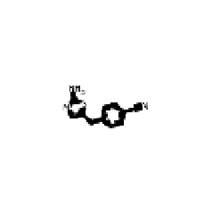 N#Cc1ccc(Cc2cnc(N)s2)cc1